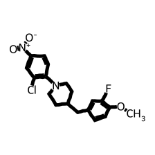 COc1ccc(CC2CCN(c3ccc([N+](=O)[O-])cc3Cl)CC2)cc1F